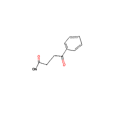 O=NC(=O)CCC(=O)c1ccccc1